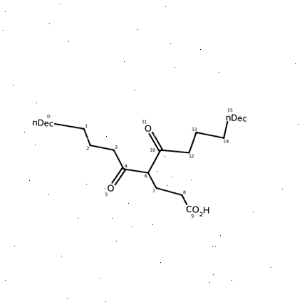 CCCCCCCCCCCCCC(=O)C(CCC(=O)O)C(=O)CCCCCCCCCCCCC